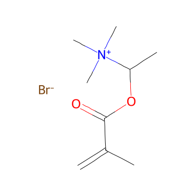 C=C(C)C(=O)OC(C)[N+](C)(C)C.[Br-]